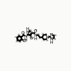 O=C(Nc1[nH]nc(C(=O)NCCC2CCN(C3=NCCN3)CC2)c1Br)c1ccccc1Cl